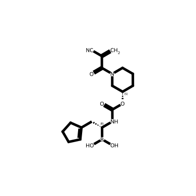 C=C(C#N)C(=O)N1CCC[C@H](OC(=O)N[C@@H](CC2=CCCC2)B(O)O)C1